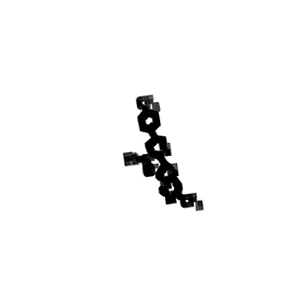 CC[S+]([O-])c1cc(-c2ccc(C(F)(F)F)cc2)cnc1-c1cn2cnc(C(F)(F)F)cc2n1